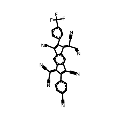 N#CC(C#N)=C1C(c2ccc(C#N)cc2)=C(C#N)c2cc3c(cc21)C(C#N)=C(c1ccc(C(F)(F)F)cc1)C3=C(C#N)C#N